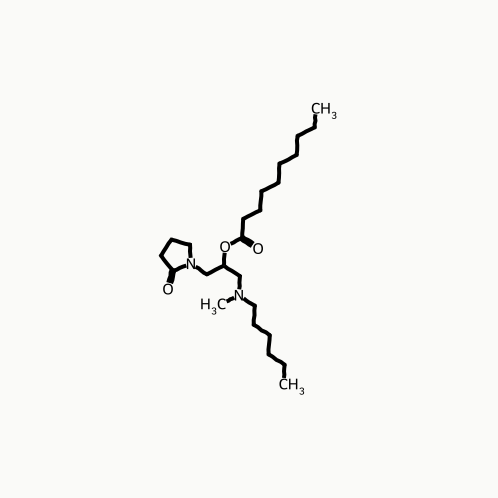 CCCCCCCCCC(=O)OC(CN(C)CCCCCC)CN1CCCC1=O